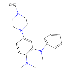 CN(C)c1ccc(N2CCN(C=O)CC2)cc1N(C)c1ccccc1